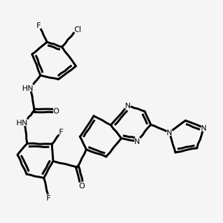 O=C(Nc1ccc(Cl)c(F)c1)Nc1ccc(F)c(C(=O)c2ccc3ncc(-n4ccnc4)nc3c2)c1F